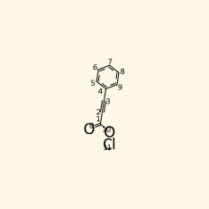 O=C(C#Cc1ccccc1)OCl